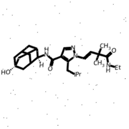 CCNC(=O)C(C)(C)/C=C/n1ncc(C(=O)N[C@H]2C3CC4CC2C[C@](O)(C4)C3)c1CC(C)C